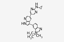 CC(C)(C)n1cnc2ccc(-c3c[nH]c4ncc(-c5cnc(NC6CC6)nc5)cc34)cc21